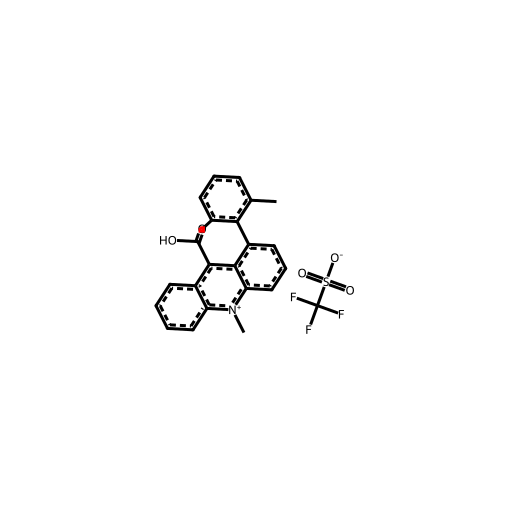 Cc1cccc(C)c1-c1cccc2c1c(C(=O)O)c1ccccc1[n+]2C.O=S(=O)([O-])C(F)(F)F